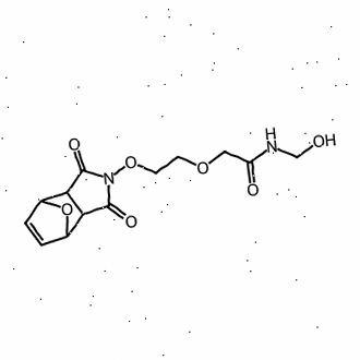 O=C(COCCON1C(=O)C2C3C=CC(O3)C2C1=O)NCO